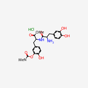 CNC(=O)Oc1cc(CC(NC(=O)C(N)Cc2ccc(O)c(O)c2)C(=O)OC)ccc1O.Cl